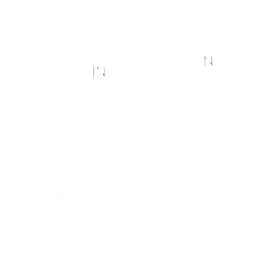 Cc1ccc(Nc2ccncc2)cc1